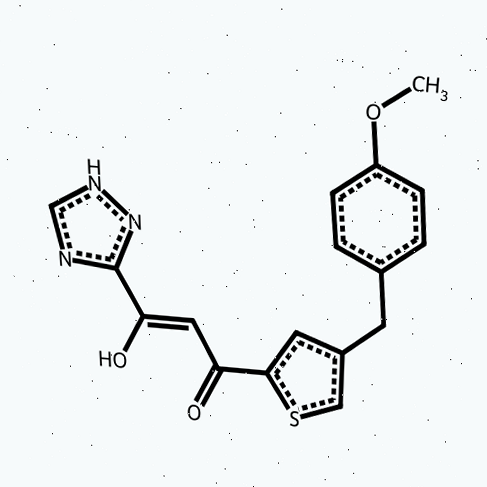 COc1ccc(Cc2csc(C(=O)C=C(O)c3nc[nH]n3)c2)cc1